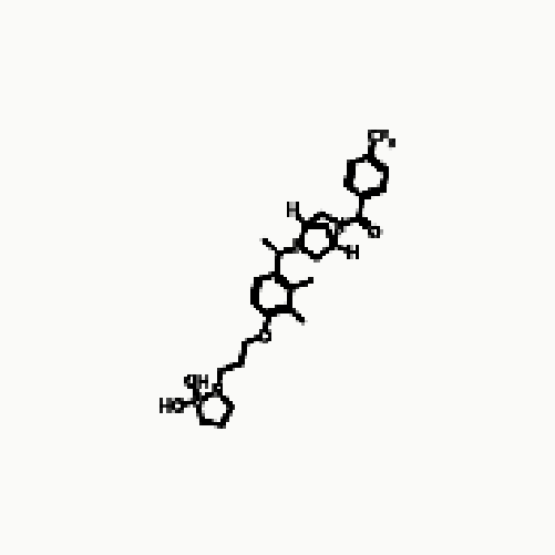 Cc1c(OCCCN2CCCS2(O)O)ccc([C@@H](C)N2C[C@@H]3C[C@H]2CN3C(=O)c2ccc(C(F)(F)F)cc2)c1C